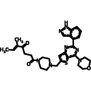 CC=C(C)C(=O)CCC(=O)N1CCN(Cc2cc3nc(-c4cccc5[nH]ncc45)nc(N4CCOCC4)c3s2)CC1